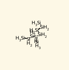 [SiH3][SiH2][SiH2][SiH2][SiH]([SiH3])[SiH2][SiH2][SiH3]